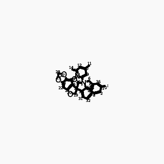 [CH]c1cccc(C[N+]2(c3cc(C)cc(C)n3)C(=O)C3(COc4cc5c(cc43)OCO5)c3ccccc32)c1